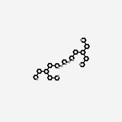 c1cncc(-c2cccc(-c3cc(-c4cccc(-c5cccnc5)c4)cc(-c4cccc(-c5ccc(Oc6cccc(Oc7ccc(-c8cccc(-c9cc(-c%10cccc(-c%11cccnc%11)c%10)cc(-c%10cccc(-c%11cccnc%11)c%10)c9)c8)cn7)n6)nc5)c4)c3)c2)c1